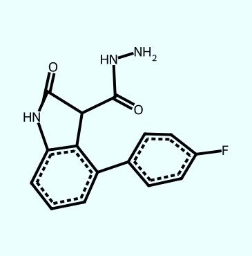 NNC(=O)C1C(=O)Nc2cccc(-c3ccc(F)cc3)c21